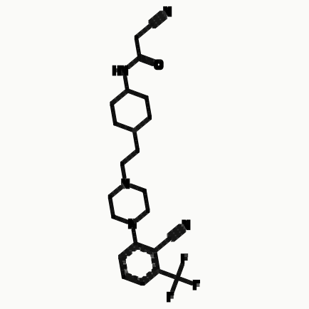 N#CCC(=O)NC1CCC(CCN2CCN(c3cccc(C(F)(F)F)c3C#N)CC2)CC1